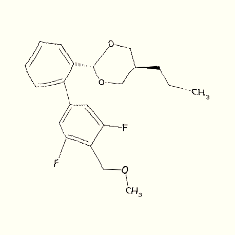 CCC[C@H]1CO[C@H](c2ccccc2-c2cc(F)c(COC)c(F)c2)OC1